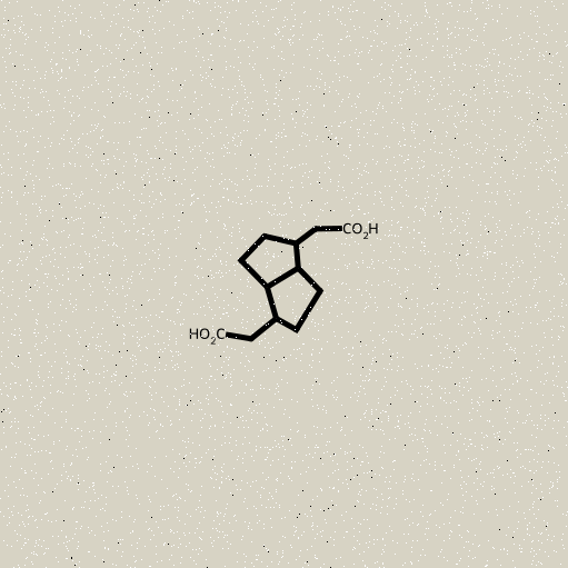 O=C(O)CC1CCC2C(CC(=O)O)CCC12